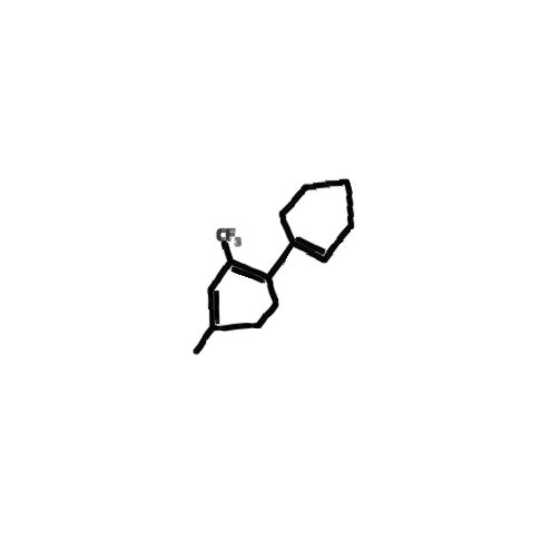 CC1=CC(C(F)(F)F)=C(C2=CCCCC2)CC1